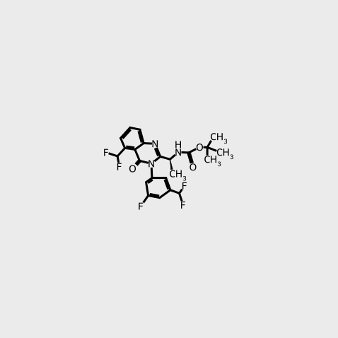 C[C@H](NC(=O)OC(C)(C)C)c1nc2cccc(C(F)F)c2c(=O)n1-c1cc(F)cc(C(F)F)c1